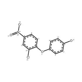 [O]c1ccc(Oc2ccc([N+](=O)[O-])cc2Cl)cc1